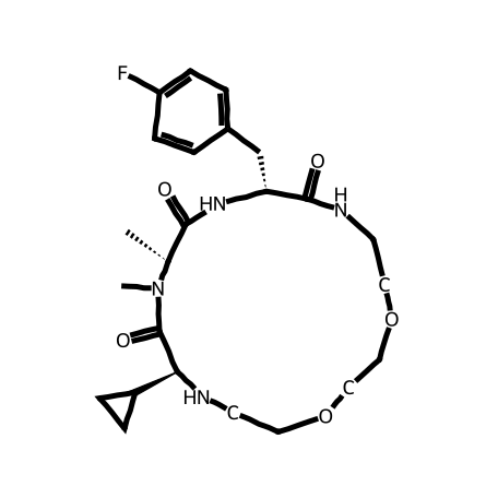 C[C@@H]1C(=O)N[C@H](Cc2ccc(F)cc2)C(=O)NCCOCCOCCN[C@@H](C2CC2)C(=O)N1C